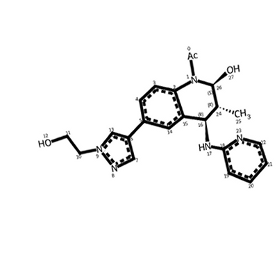 CC(=O)N1c2ccc(-c3cnn(CCO)c3)cc2[C@H](Nc2ccccn2)[C@@H](C)[C@@H]1O